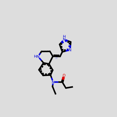 CCC(=O)N(CC)c1ccc2c(c1)/C(=C/c1c[nH]cn1)CCN2